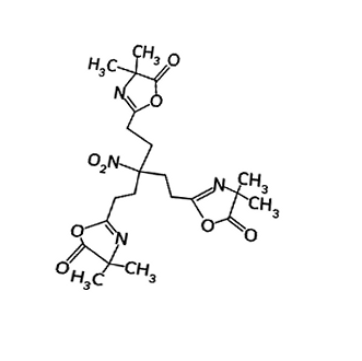 CC1(C)N=C(CCC(CCC2=NC(C)(C)C(=O)O2)(CCC2=NC(C)(C)C(=O)O2)[N+](=O)[O-])OC1=O